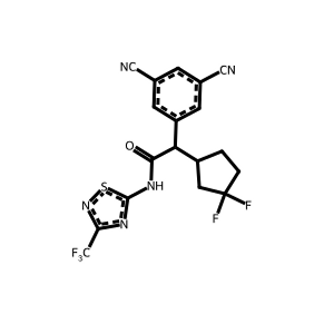 N#Cc1cc(C#N)cc(C(C(=O)Nc2nc(C(F)(F)F)ns2)C2CCC(F)(F)C2)c1